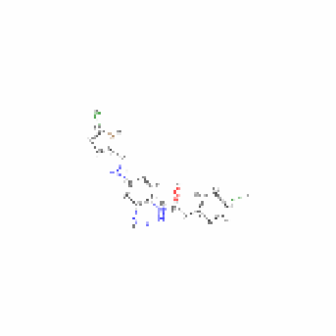 Nc1cc(NCc2ccc(Cl)s2)ccc1NC(=O)Cc1ccc(F)cc1